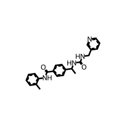 Cc1ccccc1NC(=O)c1ccc(C(C)NC(=O)NCc2cccnc2)cc1